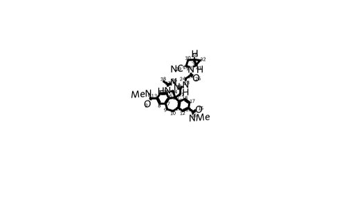 CNC(=O)c1ccc2c(c1)CCc1cc(C(=O)NC)ccc1C2(CCNCC(=O)N1[C@H](C#N)C[C@@H]2C[C@@H]21)c1nnc(C)[nH]1